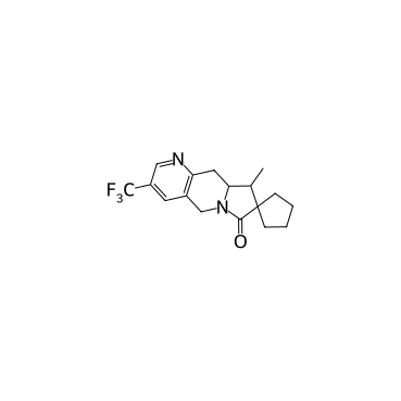 CC1C2Cc3ncc(C(F)(F)F)cc3CN2C(=O)C12CCCC2